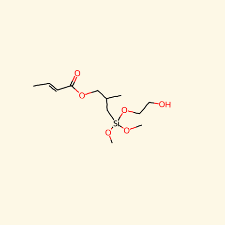 CC=CC(=O)OCC(C)C[Si](OC)(OC)OCCO